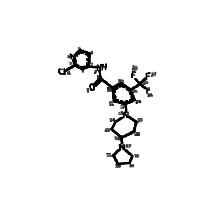 O=C(Nc1ccnc(Cl)c1)c1cc(N2CCC(N3CCCC3)CC2)cc(C(F)(F)F)c1